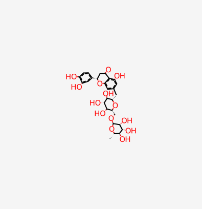 C[C@@H]1O[C@@H](OC[C@H]2O[C@@H](Cc3cc(O)c4c(c3)O[C@H](c3ccc(O)c(O)c3)CC4=O)[C@H](O)[C@@H](O)[C@@H]2O)[C@H](O)[C@H](O)[C@H]1O